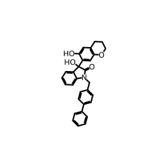 O=C1N(Cc2ccc(-c3ccccc3)cc2)c2ccccc2C1(O)c1cc2c(cc1O)CCCO2